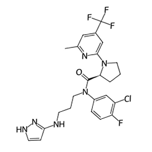 Cc1cc(C(F)(F)F)cc(N2CCC[C@H]2C(=O)N(CCCNc2cc[nH]n2)c2ccc(F)c(Cl)c2)n1